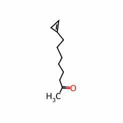 CC(=O)CCCCCCC1=CC1